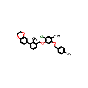 Cc1c(COc2cc(OCc3ccc(C(F)(F)F)cc3)c(C=O)cc2Cl)cccc1-c1ccc2c(c1)OCCO2